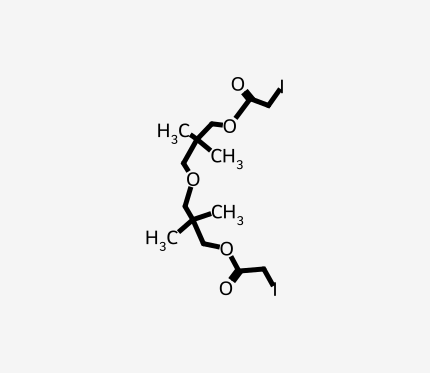 CC(C)(COCC(C)(C)COC(=O)CI)COC(=O)CI